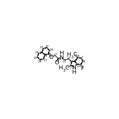 Cc1[nH]c2c(F)ccc(C)c2c1CCNC(=O)COc1cccc2ccccc12